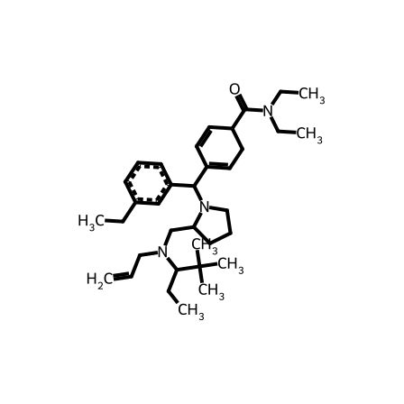 C=CCN(CC1CCCN1C(C1=CCC(C(=O)N(CC)CC)C=C1)c1cccc(CC)c1)C(CC)C(C)(C)C